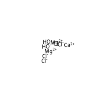 [Ca+2].[Cl-].[Cl-].[Cl-].[Cl-].[Mg+2].[Mg+2].[OH-].[OH-]